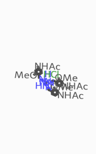 COc1cc(NC(C)=O)ccc1C=NN=C(NN=Cc1ccc(NC(C)=O)cc1OC)NN=Cc1ccc(NC(C)=O)cc1OC.Cl